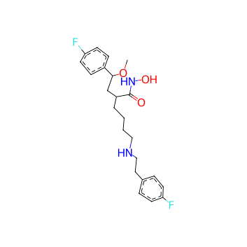 COC(CC(CCCCNCCc1ccc(F)cc1)C(=O)NO)c1ccc(F)cc1